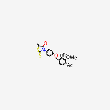 C=C1SC(=S)N(c2ccc(OCc3ccc(C(C)=O)c(OC)c3CCC)cc2)C1=O